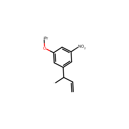 [CH2]C(C=C)c1cc(OC(C)C)cc([N+](=O)[O-])c1